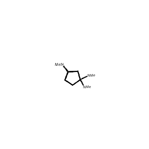 CNC1CCC(NC)(NC)C1